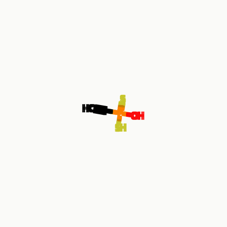 C#CP(O)(=S)S